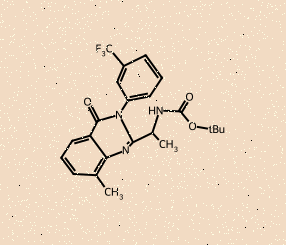 Cc1cccc2c(=O)n(-c3cccc(C(F)(F)F)c3)c(C(C)NC(=O)OC(C)(C)C)nc12